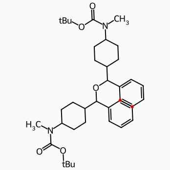 CN(C(=O)OC(C)(C)C)C1CCC(C(OC(c2ccccc2)C2CCC(N(C)C(=O)OC(C)(C)C)CC2)c2ccccc2)CC1